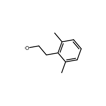 Cc1cccc(C)c1CC[O]